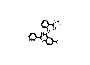 NC(=O)c1ccccc1Oc1nc(-c2cccnc2)nc2ccc(Cl)cc12